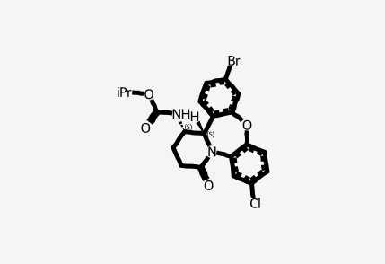 CC(C)OC(=O)N[C@H]1CCC(=O)N2c3cc(Cl)ccc3Oc3cc(Br)ccc3[C@@H]12